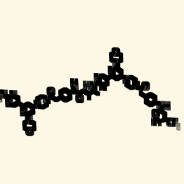 C/C(=C\C(=O)Nc1ccc(CC(=O)N2CCN(c3cc(-c4cnc(N)nc4)nc(N4CCOCC4)c3)CC2)cc1)C(C)Nc1ncc(-c2cc(N3CCN(C(=O)Cc4ccc(NC(=O)/C=C(\C(C)C)C(F)(F)F)cc4)CC3)cc(N3CCOCC3)n2)cn1